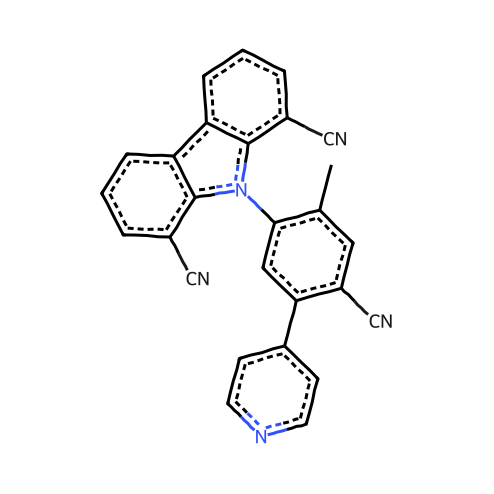 Cc1cc(C#N)c(-c2ccncc2)cc1-n1c2c(C#N)cccc2c2cccc(C#N)c21